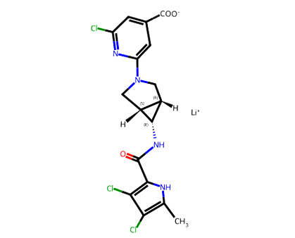 Cc1[nH]c(C(=O)N[C@@H]2[C@@H]3CN(c4cc(C(=O)[O-])cc(Cl)n4)C[C@@H]32)c(Cl)c1Cl.[Li+]